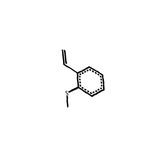 [CH]=Cc1ccccc1SC